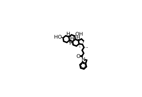 C[C@H](CCC(=O)N1Cc2ccccc21)[C@H]1CC[C@H]2[C@@H]3[C@@H](O)C[C@@H]4C[C@H](O)CC[C@]4(C)[C@H]3CC[C@]12C